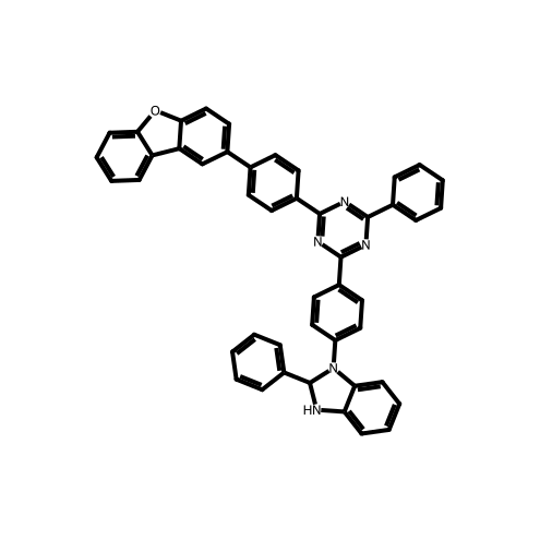 c1ccc(-c2nc(-c3ccc(-c4ccc5oc6ccccc6c5c4)cc3)nc(-c3ccc(N4c5ccccc5NC4c4ccccc4)cc3)n2)cc1